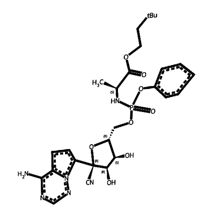 C[C@H](NP(=O)(OC[C@H]1O[C@@](C#N)(c2ccc3c(N)ncnn23)[C@H](O)[C@@H]1O)Oc1ccccc1)C(=O)OCCC(C)(C)C